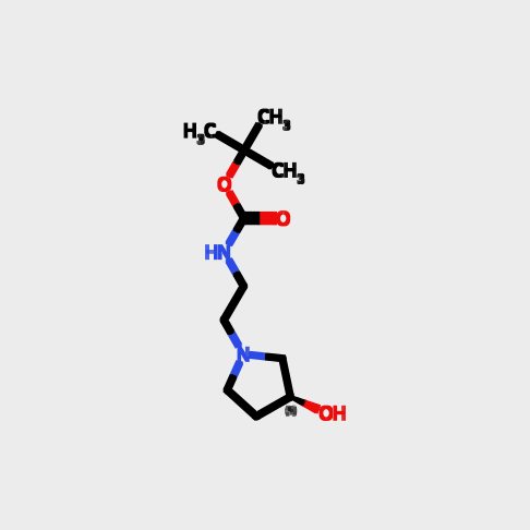 CC(C)(C)OC(=O)NCCN1CC[C@H](O)C1